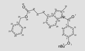 CCCCOc1ccc(C(=O)n2c(C)cc3c(CCCC(=O)OCc4ccccc4)cccc32)cc1